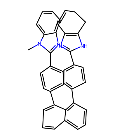 Cn1c(-c2ccc(-c3cccc4cccc(-c5ccc(-c6nc7c([nH]6)CCC=C7)cc5)c34)cc2)nc2ccccc21